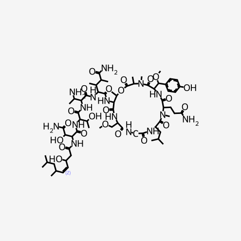 COCC1NC(=O)C(NC(=O)C(NC(=O)C(NC(=O)C(NC(=O)C(NC(=O)CC(O)/C=C\C(C)CC(C)C)C(O)C(N)=O)C(C)O)C(C)N)C(C)C(C)C(N)=O)C(C)OC(=O)C(C)N(C)C(=O)C(C(OC)c2ccc(O)cc2)NC(=O)C(CCC(N)=O)N(C)C(=O)C(CC(C)C)NC(=O)CNC1=O